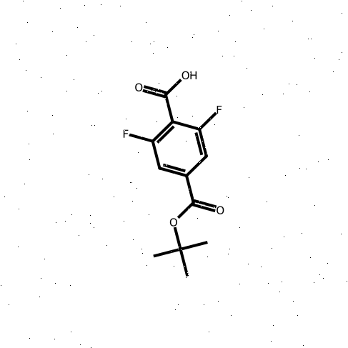 CC(C)(C)OC(=O)c1cc(F)c(C(=O)O)c(F)c1